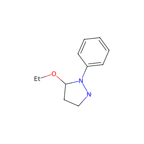 CCOC1CC[N]N1c1ccccc1